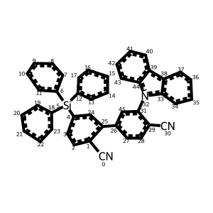 N#Cc1ccc([Si](c2ccccc2)(c2ccccc2)c2ccccc2)cc1-c1ccc(C#N)c(-n2c3ccccc3c3ccccc32)c1